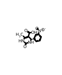 CC1=C(C(=O)O)[C@@H](c2cccc([N+](=O)[O-])c2)NC(=O)N1